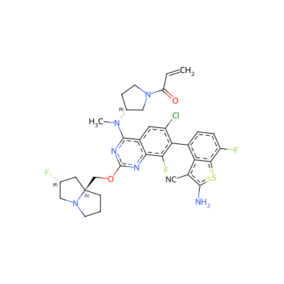 C=CC(=O)N1CC[C@@H](N(C)c2nc(OC[C@@]34CCCN3C[C@H](F)C4)nc3c(F)c(-c4ccc(F)c5sc(N)c(C#N)c45)c(Cl)cc23)C1